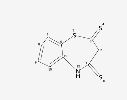 S=C1CC(=S)Sc2ccccc2N1